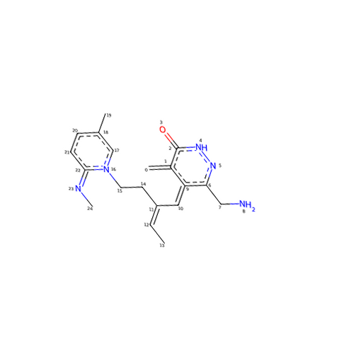 C=c1c(=O)[nH]nc(CN)/c1=C/C(=C\C)CCn1cc(C)cc/c1=N/C